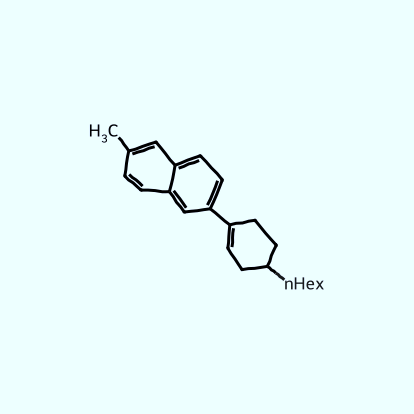 CCCCCCC1CC=C(c2ccc3cc(C)ccc3c2)CC1